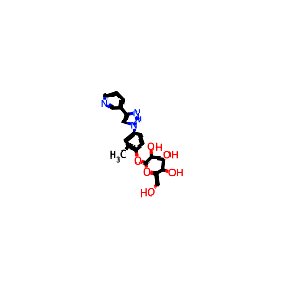 Cc1cc(-n2cc(-c3cccnc3)nn2)ccc1OC1OC(CO)C(O)C(O)C1O